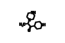 CC(C(=O)C1CCNCC1)N1CCNCC1